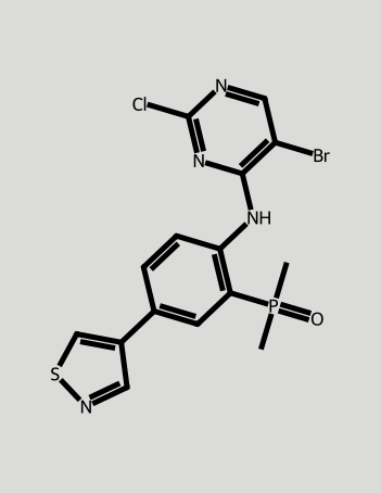 CP(C)(=O)c1cc(-c2cnsc2)ccc1Nc1nc(Cl)ncc1Br